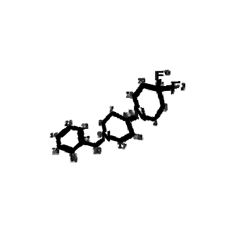 FC1(F)CCN(C2CCN(Cc3ccccc3)CC2)CC1